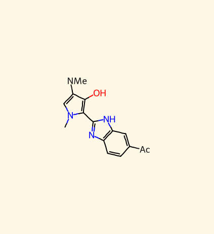 CNc1cn(C)c(-c2nc3ccc(C(C)=O)cc3[nH]2)c1O